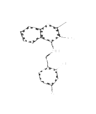 CC(=O)c1c(C)nc2ccccc2c1NCc1ccc(Br)cc1Cl